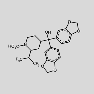 O=C(O)N1CCC(C(O)(c2ccc3c(c2)OCO3)c2ccc3c(c2)OCO3)CC1C(C(F)(F)F)C(F)(F)F